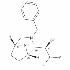 O[C@@H](C(F)F)[C@@H]1[C@@H]2CC[C@H](CN1Cc1ccccc1)N2